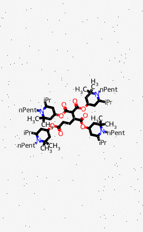 CCCCCN1C(C(C)C)CC(OC(=O)CCC(C(=O)OC2CC(C(C)C)N(CCCCC)C(C)(C)C2)C(C(=O)OC2CC(C(C)C)N(CCCCC)C(C)(C)C2)C(=O)OC2CC(C(C)C)N(CCCCC)C(C)(C)C2)CC1(C)C